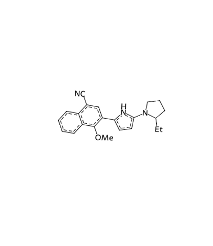 CCC1CCCN1c1ccc(-c2cc(C#N)c3ccccc3c2OC)[nH]1